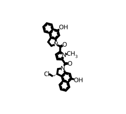 Cn1c(C(=O)N2CCc3c2cc(O)c2ccccc32)ccc1C(=O)N1C[C@@H](CCl)c2c1cc(O)c1ccccc21